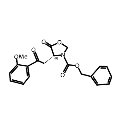 COc1ccccc1C(=O)C[C@@H]1C(=O)OCN1C(=O)OCc1ccccc1